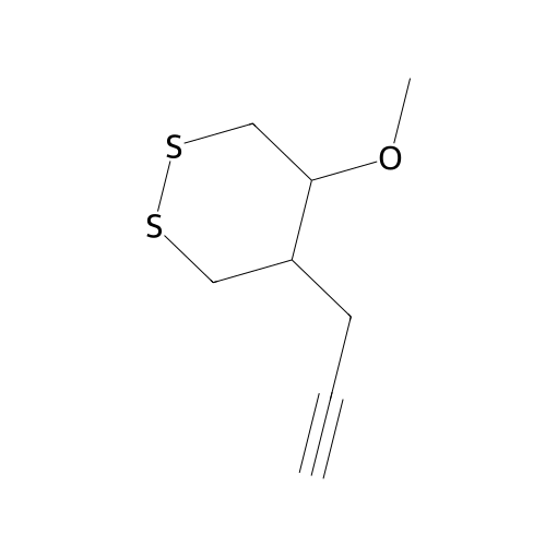 C#CCC1CSSCC1OC